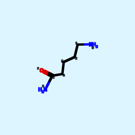 NCC[CH]CC(N)=O